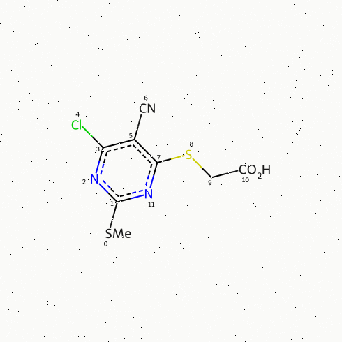 CSc1nc(Cl)c(C#N)c(SCC(=O)O)n1